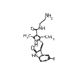 Cc1[nH]c(C=C2C(=O)Nc3ccc(F)cc32)c(C)c1C(=O)NCCN